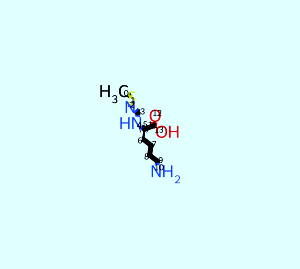 CSN=CN[C@H](CCCCN)C(=O)O